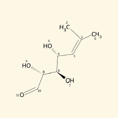 CC(C)=C[C@@H](O)[C@@H](O)[C@@H](O)C=O